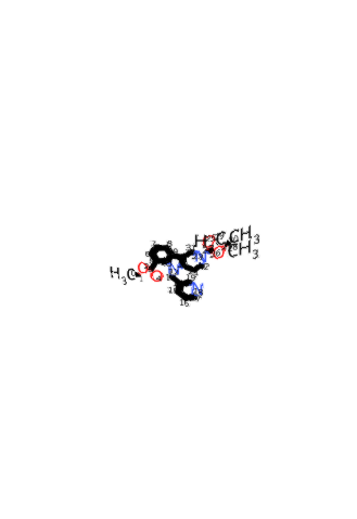 CCOC(=O)c1cccc2c3c(n(Cc4cccnc4)c12)CCN(C(=O)OC(C)(C)C)C3